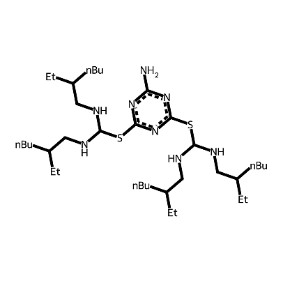 CCCCC(CC)CNC(NCC(CC)CCCC)Sc1nc(N)nc(SC(NCC(CC)CCCC)NCC(CC)CCCC)n1